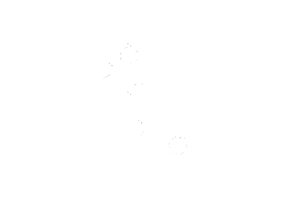 CCN(C(=O)C1CC(=O)N(C2CCN(C(=O)OCc3cc(Cl)cc(Cl)c3)CC2)C1)c1cccnc1